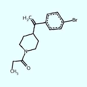 C=C(c1ccc(Br)cc1)C1CCN(C(=O)CC)CC1